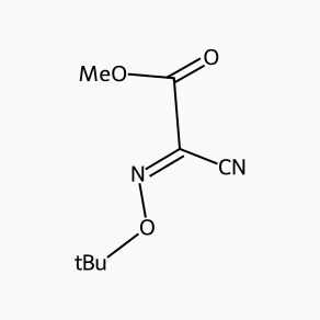 COC(=O)C(C#N)=NOC(C)(C)C